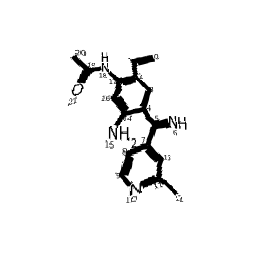 C=Cc1cc(C(=N)c2ccnc(C)c2)c(N)cc1NC(C)=O